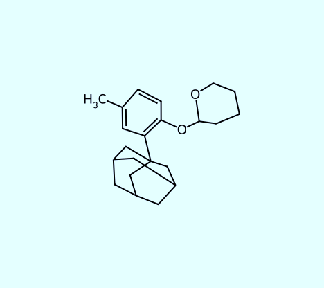 Cc1ccc(OC2CCCCO2)c(C23CC4CC(CC(C4)C2)C3)c1